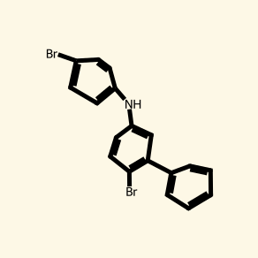 Brc1ccc(Nc2ccc(Br)c(-c3ccccc3)c2)cc1